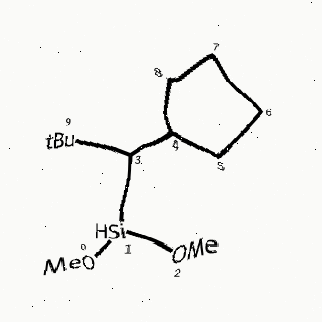 CO[SiH](OC)C(C1CCCC1)C(C)(C)C